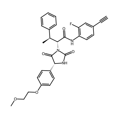 C#Cc1ccc(NC(=O)[C@@H]([C@@H](C)c2ccccc2)N2C(=O)N[C@H](c3ccc(OCCOC)cc3)C2=O)c(F)c1